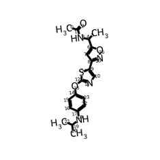 CC(=O)NC(C)c1cc(-c2cnc(Oc3ccc(NC(C)C)cc3)s2)no1